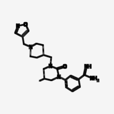 CC1CN(CC2CCN(Cc3cnoc3)CC2)C(=O)N(c2cccc(C(=N)N)c2)C1